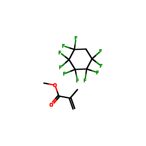 C=C(C)C(=O)OC.FC1(F)CC(F)(F)C(F)(F)C(F)(F)C1(F)F